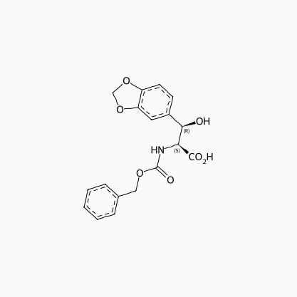 O=C(N[C@H](C(=O)O)[C@H](O)c1ccc2c(c1)OCO2)OCc1ccccc1